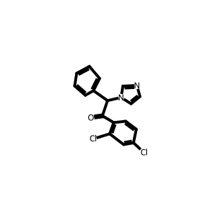 O=C(c1ccc(Cl)cc1Cl)C(c1ccccc1)n1ccnc1